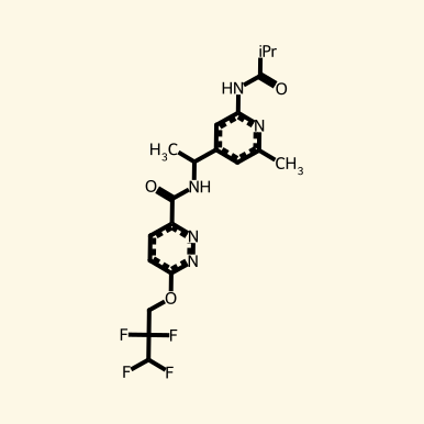 Cc1cc(C(C)NC(=O)c2ccc(OCC(F)(F)C(F)F)nn2)cc(NC(=O)C(C)C)n1